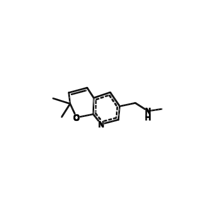 CNCc1cnc2c(c1)C=CC(C)(C)O2